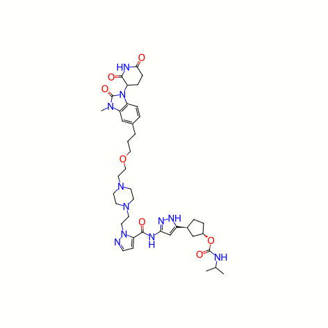 CC(C)NC(=O)O[C@@H]1CC[C@H](c2cc(NC(=O)c3ccnn3CCN3CCN(CCOCCCc4ccc5c(c4)n(C)c(=O)n5C4CCC(=O)NC4=O)CC3)n[nH]2)C1